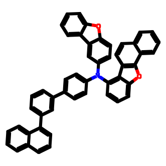 c1cc(-c2ccc(N(c3ccc4oc5ccccc5c4c3)c3cccc4oc5c6ccccc6ccc5c34)cc2)cc(-c2cccc3ccccc23)c1